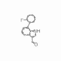 O=Cc1c[nH]c2c(-c3ccccc3F)cccc12